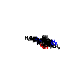 CCNc1ccc([C@H](c2ccc(C)c(Cn3ccnc3CN3CCC(CC)CC3)c2)C(C)(C)C(=O)O)c(C)c1N